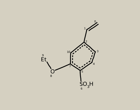 C=Cc1ccc(S(=O)(=O)O)c(OCC)c1